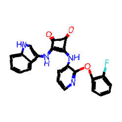 O=c1c(Nc2cccnc2Oc2ccccc2F)c(Nc2c[nH]c3ccccc23)c1=O